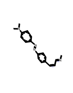 C/N=C/C=C\c1ccc(N=Nc2ccc(N(C)C)cc2)cc1